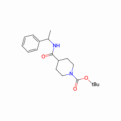 CC(NC(=O)C1CCN(C(=O)OC(C)(C)C)CC1)c1ccccc1